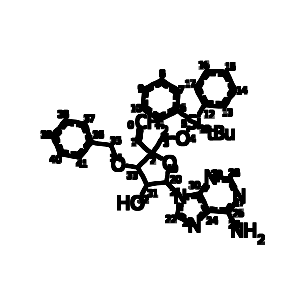 C=CC1(CO[Si](c2ccccc2)(c2ccccc2)C(C)(C)C)OC(n2cnc3c(N)ncnc32)C(O)C1OCc1ccccc1